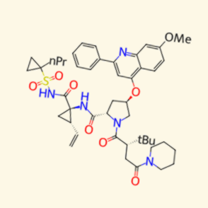 C=C[C@@H]1C[C@]1(NC(=O)[C@@H]1C[C@@H](Oc2cc(-c3ccccc3)nc3cc(OC)ccc23)CN1C(=O)[C@@H](CC(=O)N1CCCCC1)C(C)(C)C)C(=O)NS(=O)(=O)C1(CCC)CC1